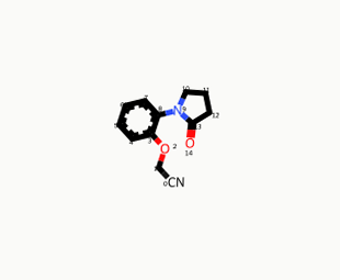 N#CCOc1ccccc1N1CCCC1=O